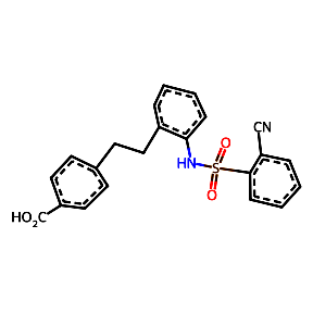 N#Cc1ccccc1S(=O)(=O)Nc1ccccc1CCc1ccc(C(=O)O)cc1